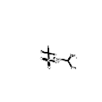 CCCCCC(N)CCC.O=S(=O)(O)C(F)(F)F